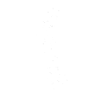 CC(C)CC(=O)N1CCC[C@H]1c1ncc(-c2ccc(-c3ccc(-c4cnc([C@@H]5CCCN5)[nH]4)c(F)c3)cc2)[nH]1